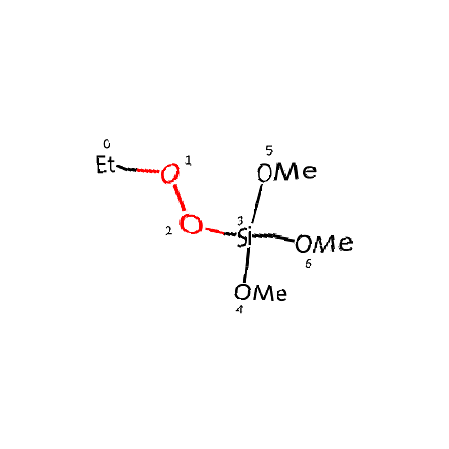 CCOO[Si](OC)(OC)OC